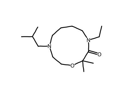 CCN1CCCCN(CC(C)C)CCOC(C)(C)C1=O